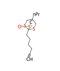 C#CCCCCC12SCC(CCC)(CS1)C[S+]2[O-]